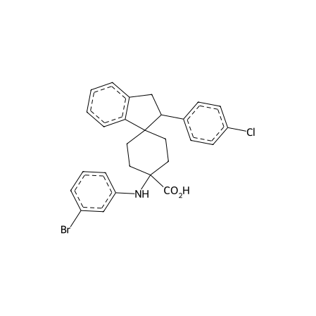 O=C(O)C1(Nc2cccc(Br)c2)CCC2(CC1)c1ccccc1CC2c1ccc(Cl)cc1